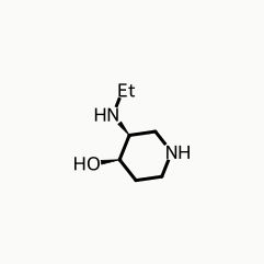 CCN[C@H]1CNCC[C@H]1O